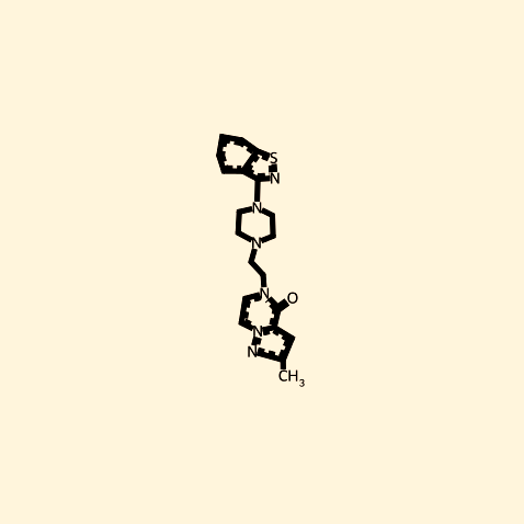 Cc1cc2c(=O)n(CCN3CCN(c4nsc5ccccc45)CC3)ccn2n1